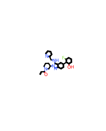 C=CC(=O)N1CCCC(n2nc3ccc(-c4c(O)cccc4F)cc3c2NCc2ccccn2)C1